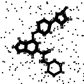 Cn1cc(-c2ccc(Cc3cc(C(=O)NC4CCCOC4)nc4ccsc34)cc2)nn1